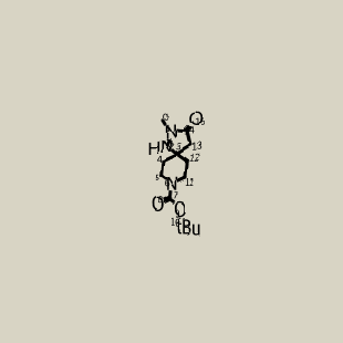 CN1NC2(CCN(C(=O)OC(C)(C)C)CC2)CC1=O